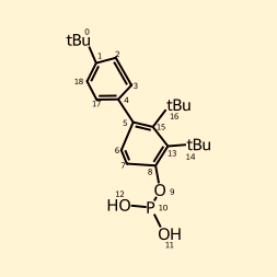 CC(C)(C)c1ccc(-c2ccc(OP(O)O)c(C(C)(C)C)c2C(C)(C)C)cc1